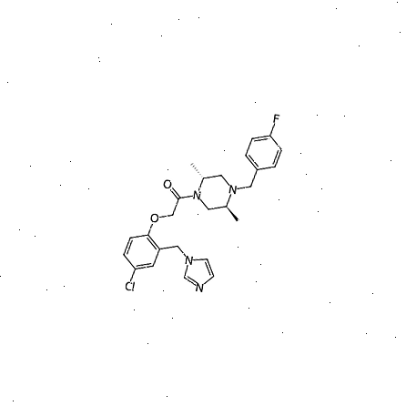 C[C@@H]1CN(Cc2ccc(F)cc2)[C@@H](C)CN1C(=O)COc1ccc(Cl)cc1Cn1ccnc1